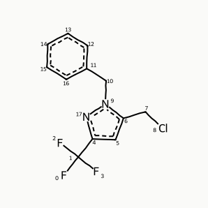 FC(F)(F)c1cc(CCl)n(Cc2ccccc2)n1